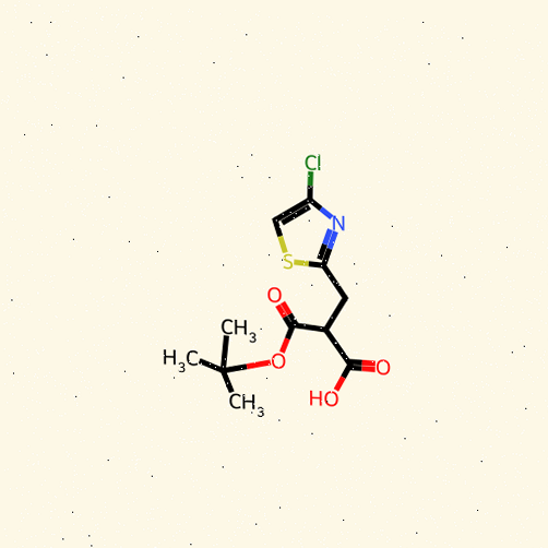 CC(C)(C)OC(=O)C(Cc1nc(Cl)cs1)C(=O)O